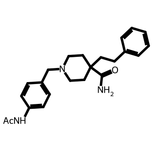 CC(=O)Nc1ccc(CN2CCC(CCc3ccccc3)(C(N)=O)CC2)cc1